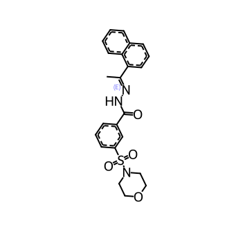 C/C(=N\NC(=O)c1cccc(S(=O)(=O)N2CCOCC2)c1)c1cccc2ccccc12